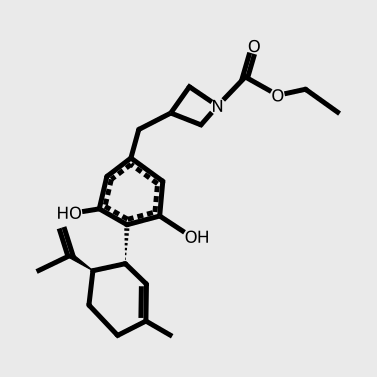 C=C(C)[C@@H]1CCC(C)=C[C@H]1c1c(O)cc(CC2CN(C(=O)OCC)C2)cc1O